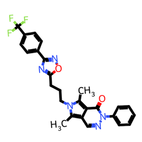 Cc1c2cnn(-c3ccccc3)c(=O)c2c(C)n1CCCc1nc(-c2ccc(C(F)(F)F)cc2)no1